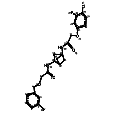 O=C(COCc1cccc(F)c1)NC1CC2(NC(=O)COc3ccc(Cl)c(F)c3)CC1C2